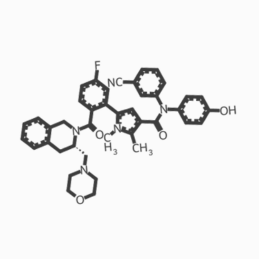 Cc1c(C(=O)N(c2ccc(O)cc2)c2cccc(C#N)c2)cc(-c2cc(F)ccc2C(=O)N2Cc3ccccc3C[C@H]2CN2CCOCC2)n1C